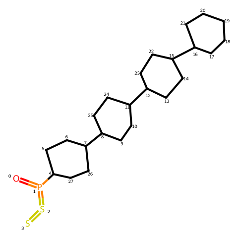 O=P(=S=S)C1CCC(C2CCC(C3CCC(C4CCCCC4)CC3)CC2)CC1